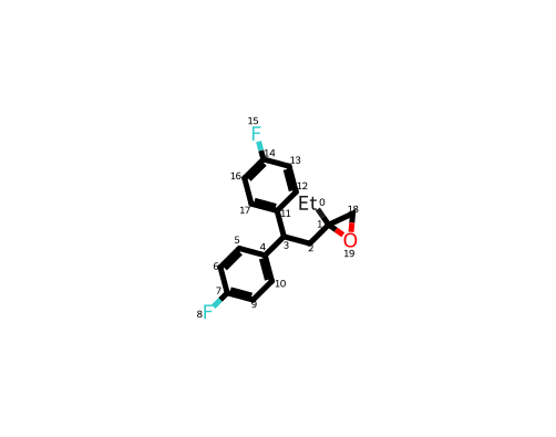 CCC1(CC(c2ccc(F)cc2)c2ccc(F)cc2)CO1